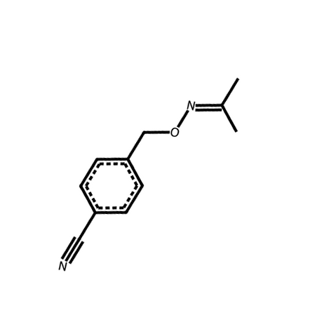 CC(C)=NOCc1ccc(C#N)cc1